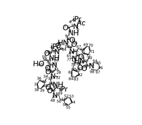 CC(=O)N(C)[C@@H](CC(C)C)C(=O)NCC(=O)N[C@@H](CC(=O)N[C@@H](C(=O)N[C@H](C(=O)N(C)[C@@H](C)C(=O)N(C)[C@@H](Cc1ccccc1)C(=O)N[C@H](C(=O)N(C)CCc1ccccc1)C(C)C)[C@@H](C)O)C(C)C)C(=O)N(C)[C@@H](Cc1ccccc1)C(=O)N(C)[C@@H](Cc1ccccc1)C(=O)N[C@@H](C)C(=O)N1CCCCC1